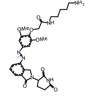 COc1cc(/N=N/c2cccc3c2CN(C2CCC(=O)NC2=O)C3=O)cc(OC)c1OCC(=O)NCCCCCN